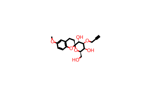 C#CCO[C@H]1[C@@H](O)[C@@H](CO)O[C@@]2(CCc3cc(OC)ccc3O2)[C@@H]1O